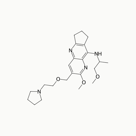 COCC(C)Nc1c2c(nc3cc(COCCN4CCCC4)c(OC)nc13)CCC2